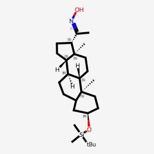 C/C(=N\O)[C@H]1CC[C@H]2[C@@H]3CCC4C[C@H](O[Si](C)(C)C(C)(C)C)CC[C@]4(C)[C@H]3CC[C@]12C